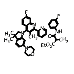 CCOC(=O)C(C)C(=O)Nc1cccc(F)c1.Cc1c(-c2ccccn2)nc2cc(F)ccc2c1N1CC(C)(C)c2ccc(N3CCOCC3)cc21